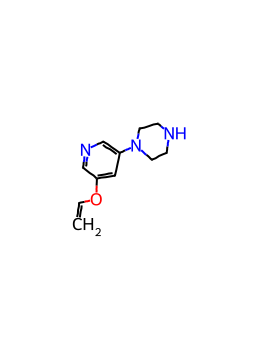 C=COc1cncc(N2CCNCC2)c1